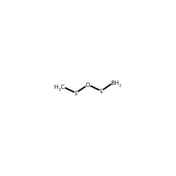 BSOSC